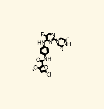 COc1cc(Cl)oc1C(=O)Nc1ccc(Nc2nc(N3C[C@@H](C)N[C@@H](C)C3)ncc2F)cc1